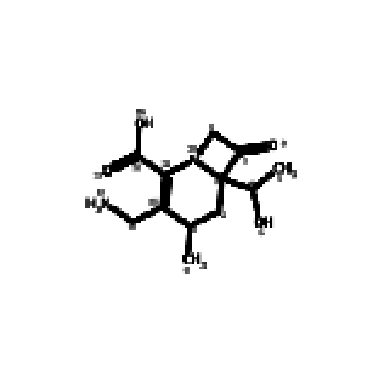 CC1CC2(C(C)O)C(=O)CN2C(C(=O)O)=C1CN